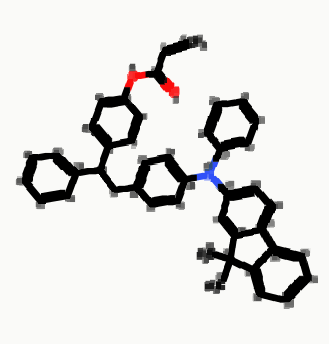 C=CC(=O)Oc1ccc(C(Cc2ccc(N(c3ccccc3)c3ccc4c(c3)C(C)(C)c3ccccc3-4)cc2)c2ccccc2)cc1